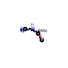 COc1cc(OCc2ccccn2)ccc1/C=C/c1cc(/C=C/c2ccc3nccnc3c2)[nH]n1